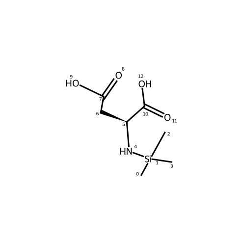 C[Si](C)(C)N[C@@H](CC(=O)O)C(=O)O